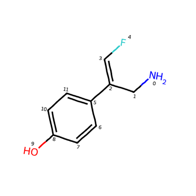 NCC(=CF)c1ccc(O)cc1